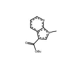 CC(C)COC(=O)c1cn(C)c2ncccc12